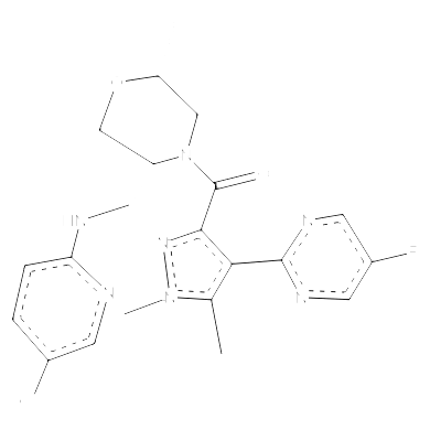 Cc1c(-c2ncc(F)cn2)c(C(=O)N2C[C@@H](C)O[C@@H](C)[C@H]2CNc2ccc(Cl)cn2)nn1C